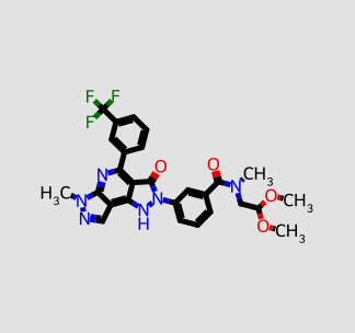 COC(CN(C)C(=O)c1cccc(-n2[nH]c3c(c(-c4cccc(C(F)(F)F)c4)nc4c3cnn4C)c2=O)c1)OC